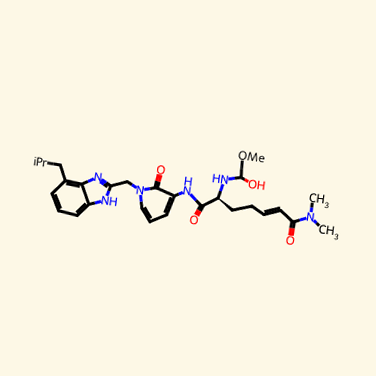 COC(O)N[C@@H](CC/C=C/C(=O)N(C)C)C(=O)Nc1cccn(Cc2nc3c(CC(C)C)cccc3[nH]2)c1=O